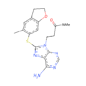 CNC(=O)CCn1c(Sc2cc3c(cc2C)CCO3)nc2c(N)ncnc21